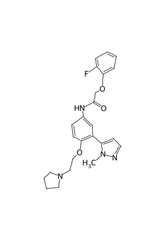 Cn1nccc1-c1cc(NC(=O)COc2ccccc2F)ccc1OCCN1CCCC1